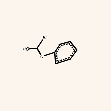 OC(Br)Oc1[c]cccc1